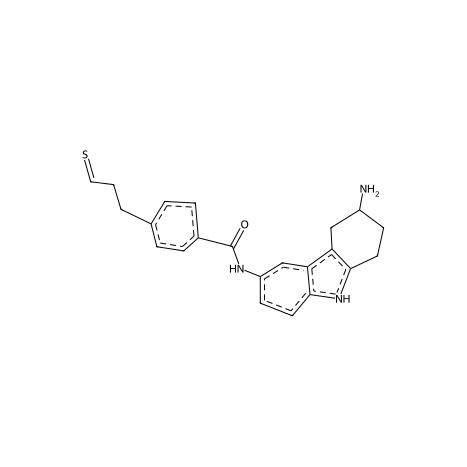 NC1CCc2[nH]c3ccc(NC(=O)c4ccc(CCC=S)cc4)cc3c2C1